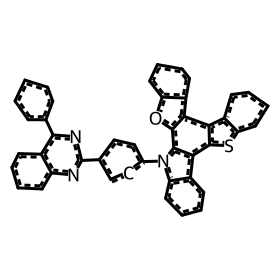 c1ccc(-c2nc(-c3ccc(-n4c5ccccc5c5c6sc7ccccc7c6c6c7ccccc7oc6c54)cc3)nc3ccccc23)cc1